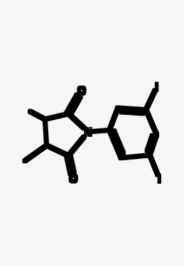 CC1C(=O)N(c2cc(I)cc(I)c2)C(=O)C1C